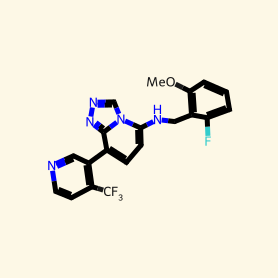 COc1cccc(F)c1CNc1ccc(-c2cnccc2C(F)(F)F)c2nncn12